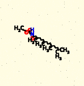 C=CCOC(=O)CNC(=O)/C=C(\C)CC/C=C(\C)CC/C=C(\C)CCC=C(C)C